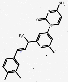 Cc1cc(C(/C=C/c2ccc(C)c(C)c2)C(F)(F)F)cc(-n2ccc(N)nc2=O)c1